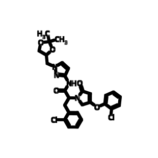 CC1(C)OCC(Cn2ccc(NC(=O)C(Cc3ccccc3Cl)N3CC(Oc4ccccc4Cl)=CC3=O)n2)O1